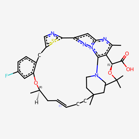 Cc1nc2cc3nn2c(c1[C@H](OC(C)(C)C)C(=O)O)N1CCC(C)(CC/C=C/C[C@@H](C)Oc2cc(F)ccc2Cc2cnc-3s2)CC1